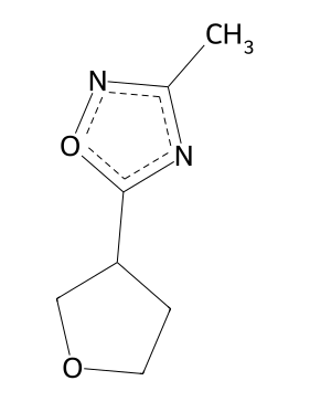 Cc1noc(C2CCOC2)n1